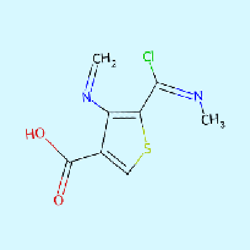 C=Nc1c(C(=O)O)csc1/C(Cl)=N\C